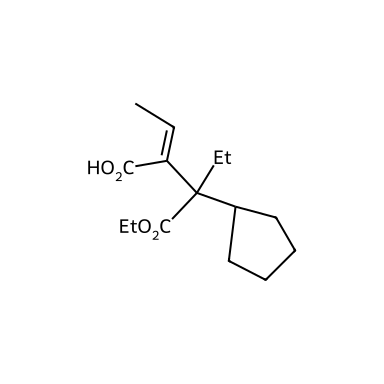 CC=C(C(=O)O)C(CC)(C(=O)OCC)C1CCCC1